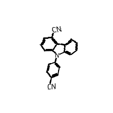 N#Cc1ccc(-n2c3ccccc3c3c(C#N)cccc32)cc1